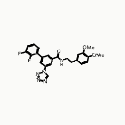 COc1ccc(CCNC(=O)c2cc(-c3cccc(F)c3F)cc(-n3cnnn3)c2)cc1OC